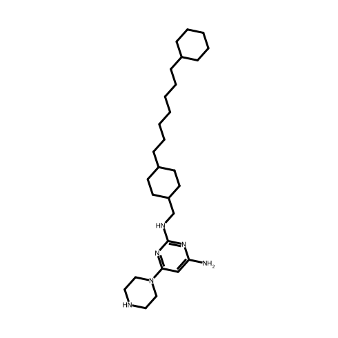 Nc1cc(N2CCNCC2)nc(NCC2CCC(CCCCCCCC3CCCCC3)CC2)n1